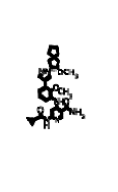 COc1c(Nc2cc(NC(=O)C3CC3)ncc2C(N)=O)cccc1-c1cnn([C@H]2CC3(CCCC3)C[C@H]2OC)c1